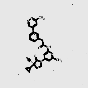 Cc1cc(-c2cccc(CC(=O)Nc3cc(N4CC[C@@](C#N)(C5CC5)C4=O)cc(C)n3)c2)cnn1